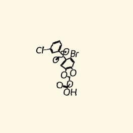 O=C(O)OC1Oc2cc(Br)c(S(=O)(=O)c3cccc(Cl)c3)cc2O1